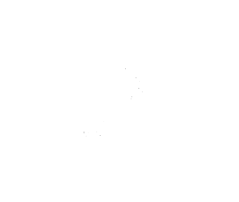 CNC(=O)OC1CC[C@H](c2cc(N)n(C(C)(C)C)n2)C1